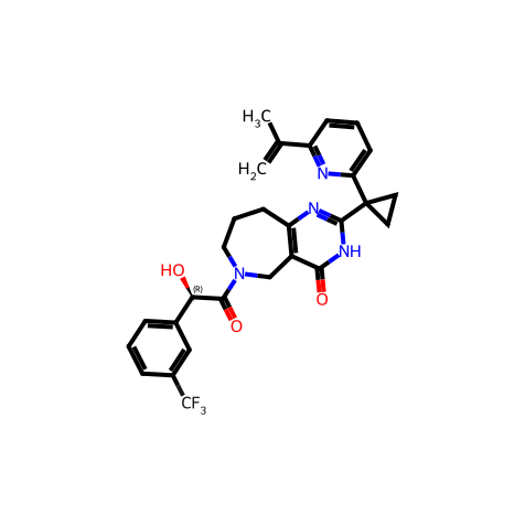 C=C(C)c1cccc(C2(c3nc4c(c(=O)[nH]3)CN(C(=O)[C@H](O)c3cccc(C(F)(F)F)c3)CCC4)CC2)n1